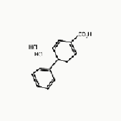 Cl.Cl.O=C(O)C1=CCC(c2ccccc2)C=C1